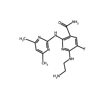 Cc1cc(C)nc(Nc2nc(NCCN)c(F)cc2C(N)=O)n1